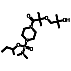 CCC(C)OP(=O)(N(C)C)N1CCN(C(=O)C(C)(C)OCC(C)(C)O)CC1